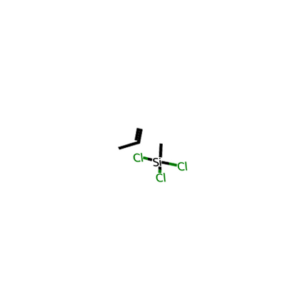 C=CC.C[Si](Cl)(Cl)Cl